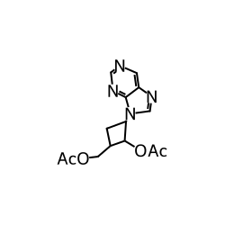 CC(=O)OCC1CC(n2cnc3cncnc32)C1OC(C)=O